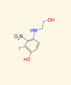 O=[N+]([O-])c1c(NCCO)ccc(O)c1I